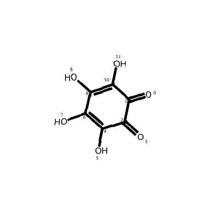 O=C1C(=O)C(O)=C(O)C(O)=C1O